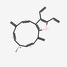 C=CC1=C(C=C)C2=C(B1)C(=C)/C=C\[C@H](C)/C=C\C(=C)/C=C\2